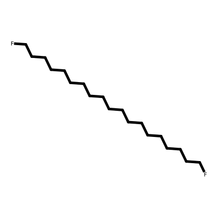 FCCCCCCCCCCCCCCCCCCCF